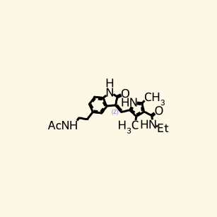 CCNC(=O)c1c(C)[nH]c(/C=C2\C(=O)Nc3ccc(CCNC(C)=O)cc32)c1C